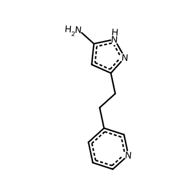 Nc1cc(CCc2cccnc2)n[nH]1